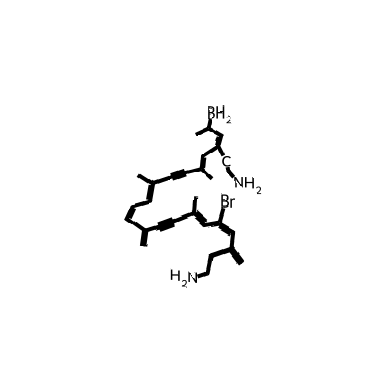 BC(C)/C=C(\C=C(/C)C#C/C(C)=C/C=C\C(=C)C#C/C(C)=C/C(Br)=C\C(=C)CCN)CCN